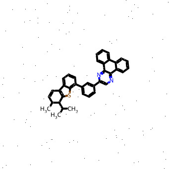 CC(C)C1c2sc3c(-c4cccc(-c5cnc6c7ccccc7c7ccccc7c6n5)c4)cccc3c2C=CC1C